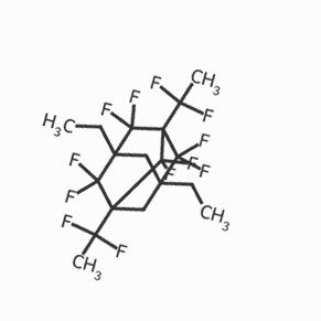 CCC12CC3(CC)C(F)(F)C(C(C)(F)F)(C1)C(F)(F)C(C(C)(F)F)(C2(F)F)C3(F)F